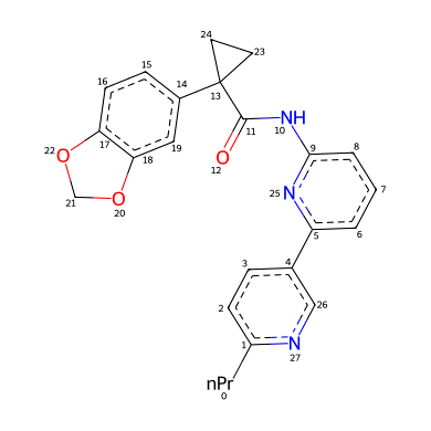 CCCc1ccc(-c2cccc(NC(=O)C3(c4ccc5c(c4)OCO5)CC3)n2)cn1